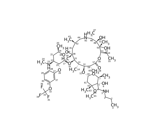 CCCNC[C@]1(O)[C@H](C)O[C@@H](O[C@H]2[C@H](C)[C@@H](O[C@@H]3O[C@H](C)C[C@H](NC)[C@H]3Oc3cccc(OC(F)(F)F)c3)[C@](C)(O)C[C@@H](C)CN[C@H](C)[C@@H](O)[C@](C)(O)[C@@H](CC)OC(=O)[C@@H]2C)C[C@@]1(C)OC